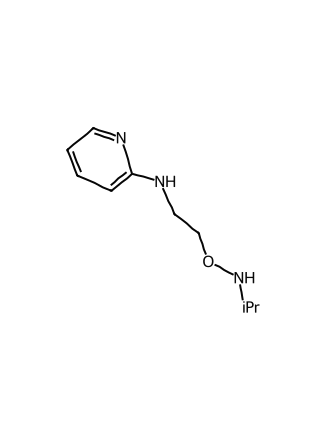 CC(C)NOCCNc1ccccn1